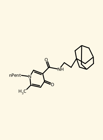 CCCCCn1cc(C(=O)NCCC23CC4CC(CC(C4)C2)C3)c(=O)cc1C